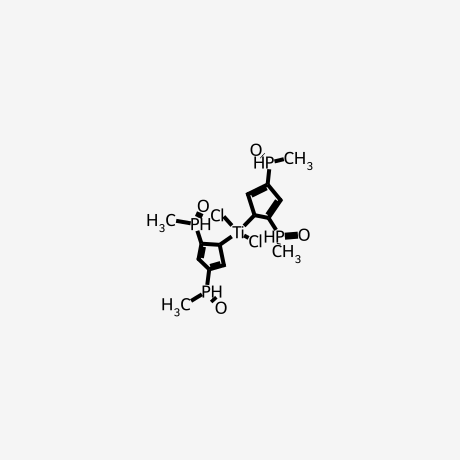 C[PH](=O)C1=C[CH]([Ti]([Cl])([Cl])[CH]2C=C([PH](C)=O)C=C2[PH](C)=O)C([PH](C)=O)=C1